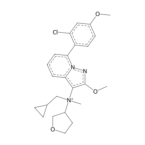 COc1ccc(-c2cccc3c([N+](C)(CC4CC4)C4CCOC4)c(OC)nn23)c(Cl)c1